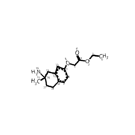 CCOC(=O)COc1ccc2c(c1)CC(C)(N)CC2